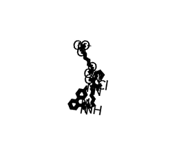 CCCCc1nc(Cl)c(C(=O)N2CCC[C@H]2C(=O)OCCCCO[N+](=O)[O-])n1Cc1ccc(-c2ccccc2-c2nn[nH]n2)cc1